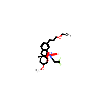 CCOCCCc1ccc2c(c1)C1(NC(=O)N(CC(F)F)C1=O)[C@]1(CC[C@H](OC)CC1)C2